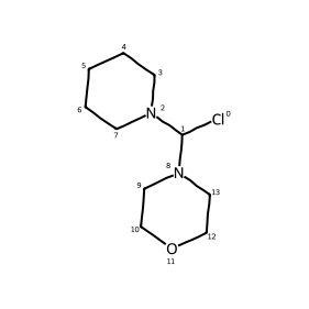 ClC(N1CCCCC1)N1CCOCC1